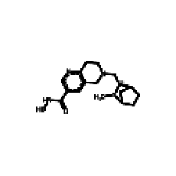 CN1C2CCC(C2)[C@@H]1CN1CCc2ncc(C(=O)NO)cc2C1